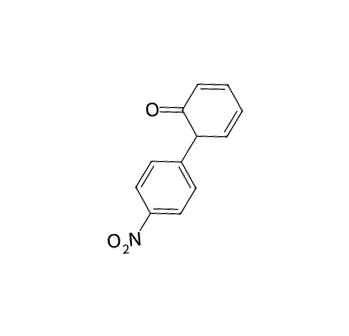 O=C1C=CC=CC1c1ccc([N+](=O)[O-])cc1